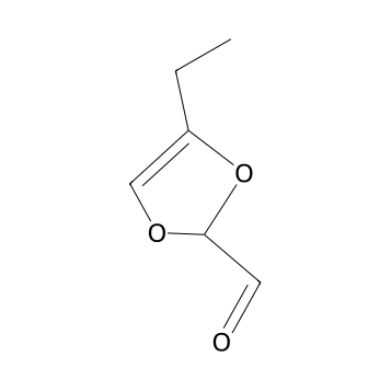 CCC1=COC(C=O)O1